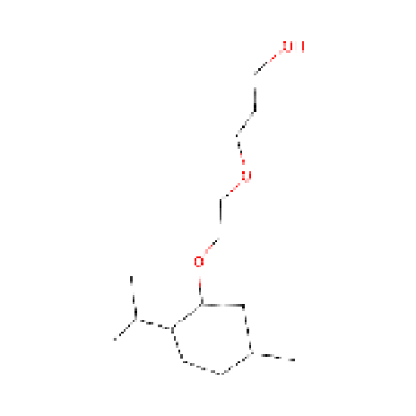 CC1CCC(C(C)C)C(OCCOCCCO)C1